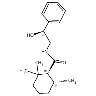 C[C@@H]1CCCC(C)(C)[C@H]1C(=O)NC[C@@H](O)c1ccccc1